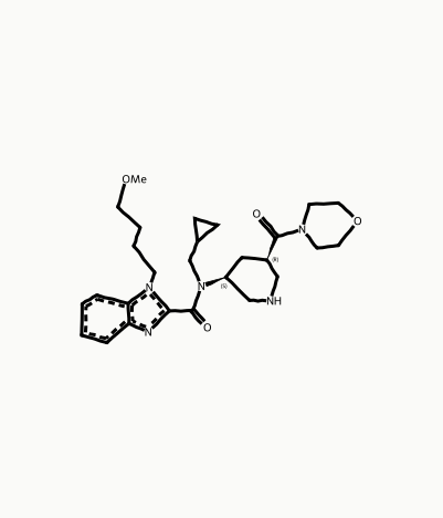 COCCCCn1c(C(=O)N(CC2CC2)[C@@H]2CNC[C@H](C(=O)N3CCOCC3)C2)nc2ccccc21